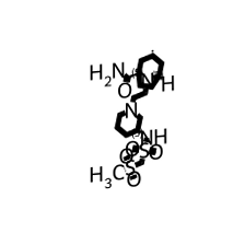 CS(=O)(=O)CS(=O)(=O)N[C@H]1CCCN(CCN2[C@@H]3C[CH]C[C@@]2(C(N)=O)CC3)C1